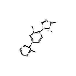 Cc1ccccc1-c1ccc(N2C=CN(C)[C@@H]2C)c(C)c1